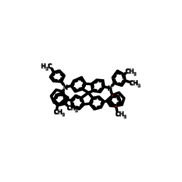 Cc1ccc(N(c2ccc(C)c(C)c2)c2ccc3c(c2)C2(c4cc(C5CCCCC5)ccc4-c4ccc(C5CCCCC5)cc42)c2cc(N(c4ccc(C)cc4)c4ccc(C)c(C)c4)ccc2-3)cc1